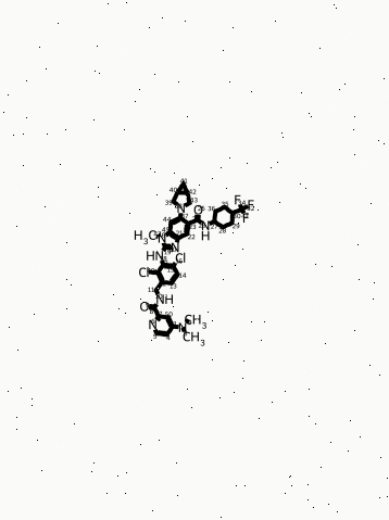 CN(C)c1ccnc(C(=O)NCc2ccc(Cl)c(Nc3nc4cc(C(=O)NC5CCC(C(F)(F)F)CC5)c(N5CC6CC6C5)cc4n3C)c2Cl)c1